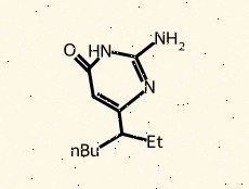 CCCCC(CC)c1cc(=O)[nH]c(N)n1